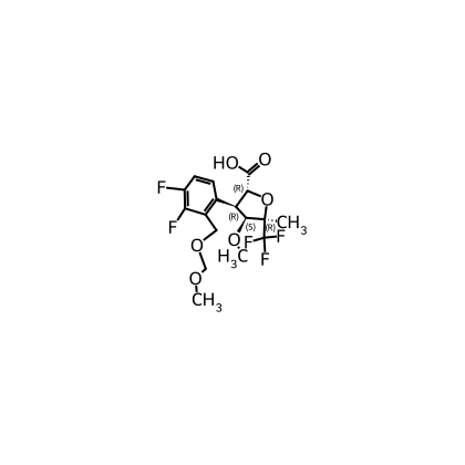 COCOCc1c([C@H]2[C@H](C(=O)O)O[C@@](C)(C(F)(F)F)[C@H]2OC)ccc(F)c1F